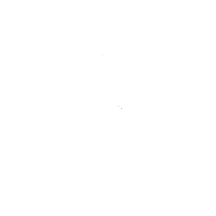 Cc1ccc(C(=S)Nc2cccc(C(F)(F)F)c2)c(F)c1I